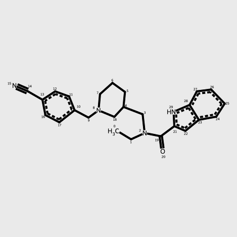 CCN(CC1CCCN(Cc2ccc(C#N)cc2)C1)C(=O)c1cc2ccccc2[nH]1